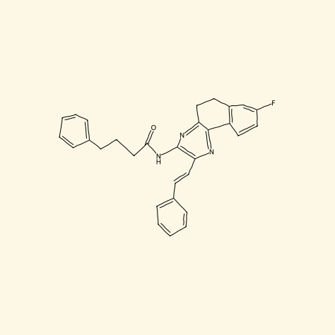 O=C(CCCc1ccccc1)Nc1nc2c(nc1/C=C/c1ccccc1)-c1ccc(F)cc1CC2